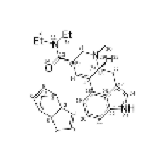 C1=CC2C3C=CC(C3)C2C1.CCN(CC)C(=O)[C@@H]1C=C2c3cccc4[nH]cc(c34)C[C@H]2N(C)C1